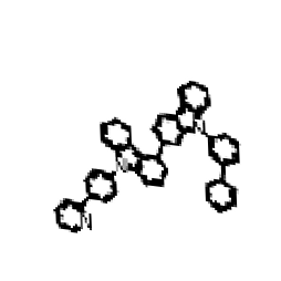 c1ccc(-c2cccc(-n3c4ccccc4c4ccc(-c5cccc6c5c5ccccc5n6-c5ccc(-c6ccccn6)cc5)cc43)c2)cc1